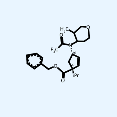 CC1COCCC1N(C(=O)C(F)(F)F)[C@@H]1C=C[C@@](C(=O)OCc2ccccc2)(C(C)C)C1